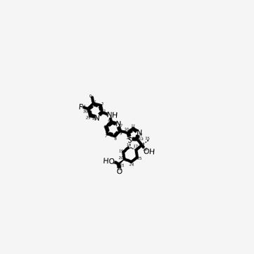 Cc1cc(Nc2cccc(-c3cnc([C@@](C)(O)[C@H]4CC[C@H](C(=O)O)CC4)s3)n2)ncc1F